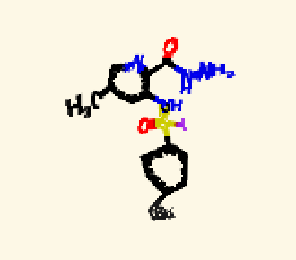 Cc1cnc(C(=O)NN)c(N[SH](=O)(I)c2ccc(C(C)(C)C)cc2)c1